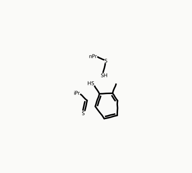 CC(C)C=S.CCCSS.Cc1ccccc1S